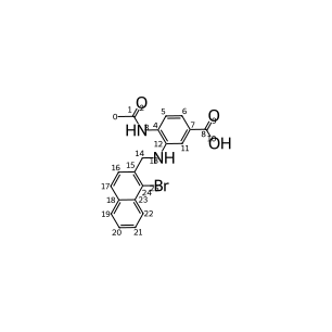 CC(=O)Nc1ccc(C(=O)O)cc1NCc1ccc2ccccc2c1Br